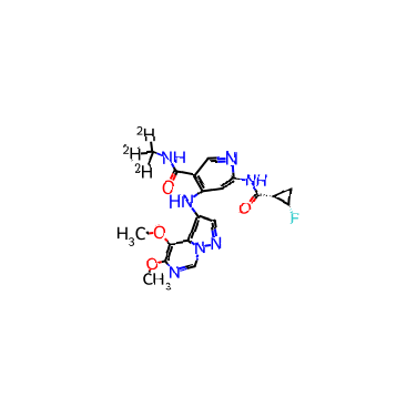 [2H]C([2H])([2H])NC(=O)c1cnc(NC(=O)[C@@H]2C[C@@H]2F)cc1Nc1cnn2cnc(OC)c(OC)c12